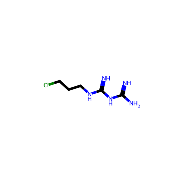 N=C(N)NC(=N)NCCCCl